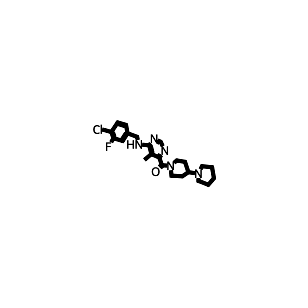 Cc1c(NCc2ccc(Cl)c(F)c2)ncnc1C(=O)N1CCC(N2CCCCC2)CC1